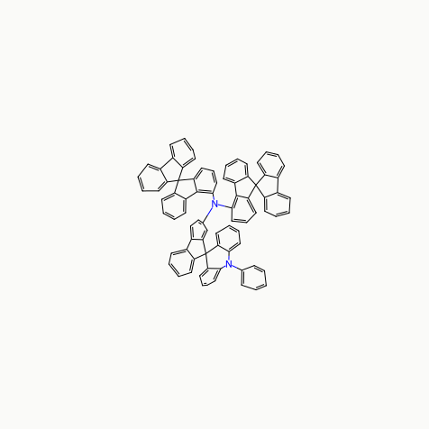 c1ccc(N2c3ccccc3C3(c4ccccc4-c4ccc(N(c5cccc6c5-c5ccccc5C65c6ccccc6-c6ccccc65)c5cccc6c5-c5ccccc5C65c6ccccc6-c6ccccc65)cc43)c3ccccc32)cc1